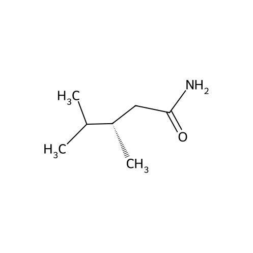 CC(C)[C@@H](C)CC(N)=O